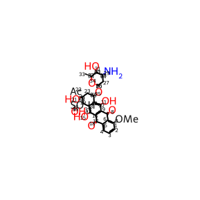 COc1cccc2c1C(=O)c1c(O)c3c(c(O)c1C2=O)C[C@@](O)(C(C)=O)C[C@@H]3O[C@H]1C[C@H](N)[C@H](O)[C@H](C)O1.O=S(=O)(O)O